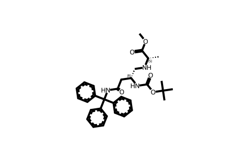 COC(=O)[C@H](C)NC[C@@H](CC(=O)NC(c1ccccc1)(c1ccccc1)c1ccccc1)NC(=O)OC(C)(C)C